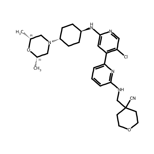 C[C@@H]1CN([C@H]2CC[C@H](Nc3cc(-c4cccc(NCC5(C#N)CCOCC5)n4)c(Cl)cn3)CC2)C[C@H](C)O1